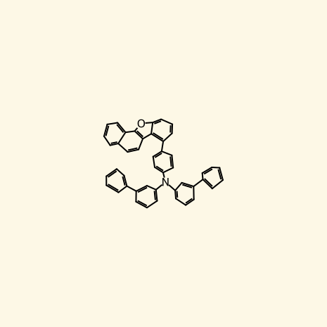 c1ccc(-c2cccc(N(c3ccc(-c4cccc5oc6c7ccccc7ccc6c45)cc3)c3cccc(-c4ccccc4)c3)c2)cc1